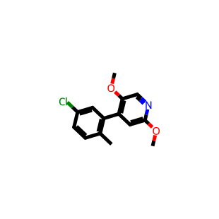 COc1cc(-c2cc(Cl)ccc2C)c(OC)cn1